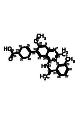 C=C(Nc1nc(C)nc2cc(OC)c(C3=CCC(C(=O)O)CC3)cc12)c1cccc(C)c1